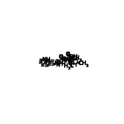 Cc1cc(C)c(S(=O)(=O)NC(CNC(=O)c2cnn(CCc3ccc4c(n3)NCCC4)c2)C(=O)O)c(C)c1